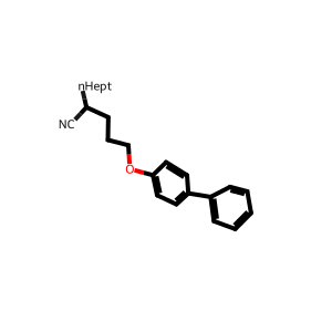 CCCCCCCC(C#N)CCCOc1ccc(-c2ccccc2)cc1